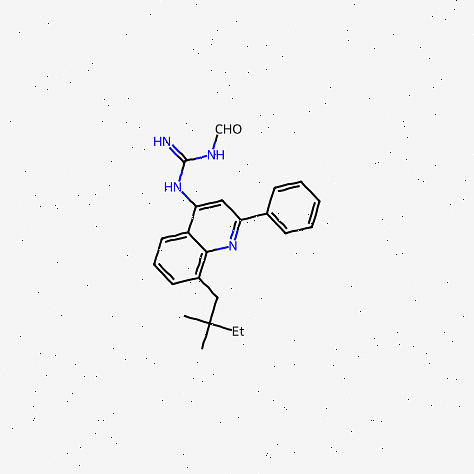 CCC(C)(C)Cc1cccc2c(NC(=N)NC=O)cc(-c3ccccc3)nc12